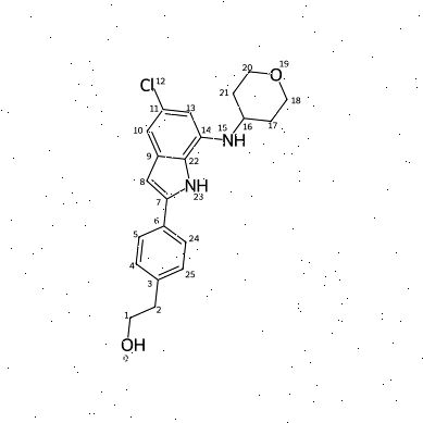 OCCc1ccc(-c2cc3cc(Cl)cc(NC4CCOCC4)c3[nH]2)cc1